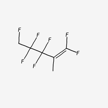 CC(=C(F)F)C(F)(F)C(F)(F)CF